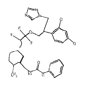 CC1CCCCC1NC(=O)Nc1ccccc1.FC(F)C(F)(F)OCC(Cn1cncn1)c1ccc(Cl)cc1Cl